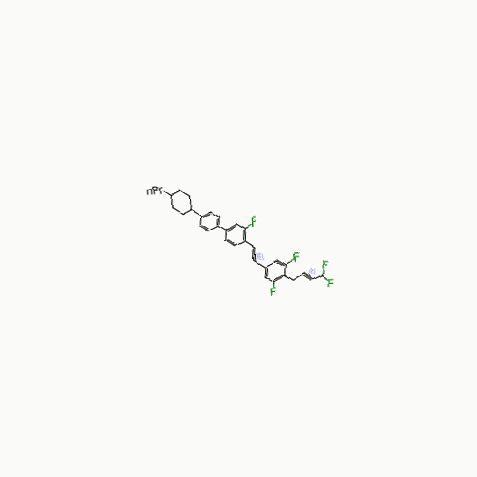 CCCC1CCC(c2ccc(-c3ccc(/C=C/c4cc(F)c(C/C=C/C(F)F)c(F)c4)c(F)c3)cc2)CC1